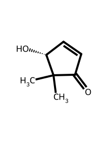 CC1(C)C(=O)C=C[C@H]1O